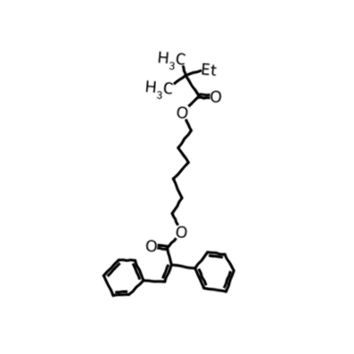 CCC(C)(C)C(=O)OCCCCCCOC(=O)/C(=C\c1ccccc1)c1ccccc1